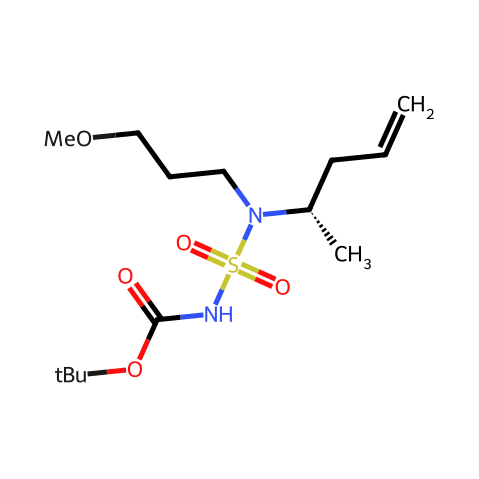 C=CC[C@H](C)N(CCCOC)S(=O)(=O)NC(=O)OC(C)(C)C